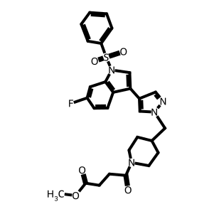 COC(=O)CCC(=O)N1CCC(Cn2cc(-c3cn(S(=O)(=O)c4ccccc4)c4cc(F)ccc34)cn2)CC1